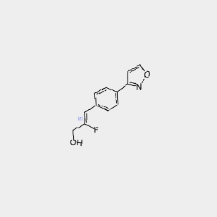 OC/C(F)=C/c1ccc(-c2ccon2)cc1